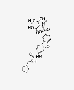 CC(C)C(NS(=O)(=O)c1ccc2oc3cc(NC(=O)NCC4CCCC4)ccc3c2c1)C(=O)O